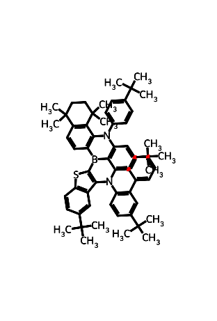 CC(C)(C)c1ccc(N2c3cc(C(C)(C)C)cc4c3B(c3ccc5c(c32)C(C)(C)CCC5(C)C)c2sc3ccc(C(C)(C)C)cc3c2N4c2ccc(C(C)(C)C)cc2-c2ccccc2)cc1